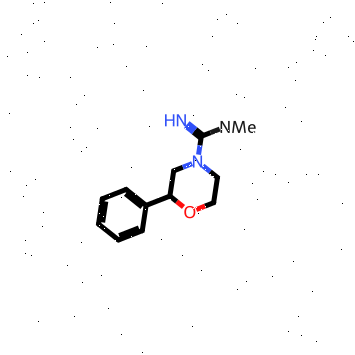 CNC(=N)N1CCOC(c2ccccc2)C1